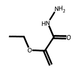 C=C(OCC)C(=O)NN